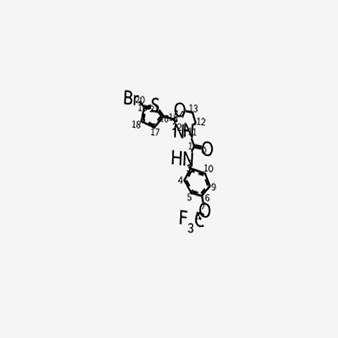 O=C(Nc1ccc(OC(F)(F)F)cc1)N1CCOC(c2ccc(Br)s2)=N1